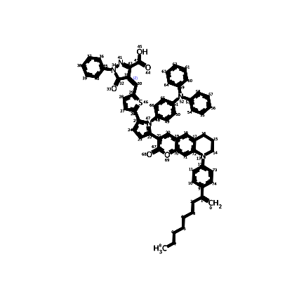 C=C(CCCCCCC)c1ccc(N2CCCc3cc4cc(-c5ccc(-c6ccc(/C=C7\C(=O)N(c8ccccc8)N=C7C(=O)O)s6)n5-c5ccc(N(c6ccccc6)c6ccccc6)cc5)c(=O)oc4cc32)cc1